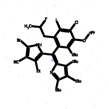 CCCOc1c(Cl)c(I)c(CC(C)F)c(/C(=C2/N=C(C(C)(C)C)C(C(C)(C)C)=C2C(C)(C)C)c2[nH]c(Br)c(C#N)c2CC)c1C(C)(C)C